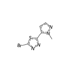 Cn1nccc1-c1nnc(Br)s1